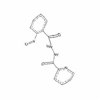 O=Nc1ccccc1C(=O)NNC(=O)c1ccccn1